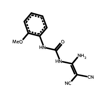 COc1ccccc1NC(=O)NC(N)=C(C#N)C#N